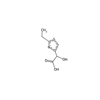 CCc1nc(C(O)C(=O)O)cs1